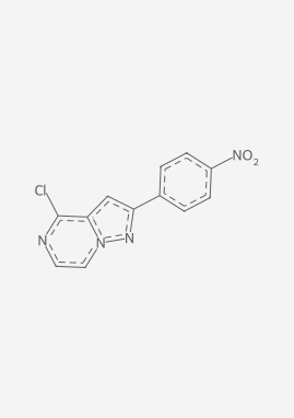 O=[N+]([O-])c1ccc(-c2cc3c(Cl)nccn3n2)cc1